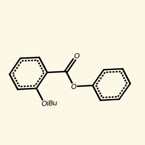 CC(C)COc1ccccc1C(=O)Oc1ccccc1